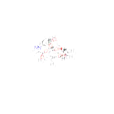 CC1=C[C@]23C(O)[C@@H](C=C4COC(C)(C)O[C@H]4[C@]2(O)[C@H]1OC(=O)c1ccnn1-c1ccccc1)[C@H]1[C@@H](C[C@H]3C)C1(C)C